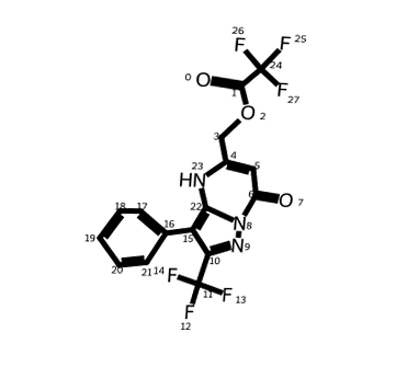 O=C(OCc1cc(=O)n2nc(C(F)(F)F)c(-c3ccccc3)c2[nH]1)C(F)(F)F